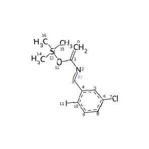 C=C(/N=C/c1cc(Cl)ccc1I)O[Si](C)(C)C